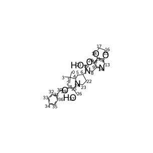 CC(C)(C)C1CC(N(Cc2cc3c(cn2)OCCO3)C(=O)O)CCN1C(CO)COCc1ccccc1